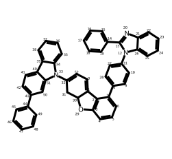 C1=C2c3c(cccc3-c3ccc(-n4c(-c5ccccc5)nc5ccccc54)cc3)OC2CC(n2c3ccccc3c3ccc(-c4ccccc4)cc32)=C1